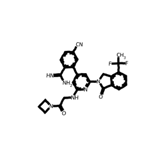 CC(F)(F)c1cccc2c1CN(c1cc(-c3cc(C#N)ccc3C(=N)N)cc(NCC(=O)N3CCC3)n1)C2=O